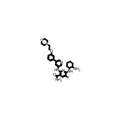 NC(=O)c1cc(F)c(NC2CCCCC2N)nc1Nc1cncc(-c2cccc(OCCN3CCOCC3)c2)c1